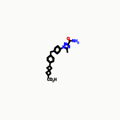 Cc1nc(C(N)=O)nn1-c1ccc(Cc2ccc(C3CC4(CC(C(=O)O)C4)C3)cc2)cc1